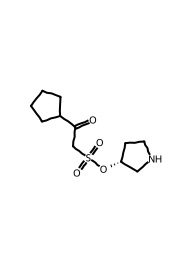 O=C(CS(=O)(=O)O[C@@H]1CCNC1)C1CCCC1